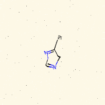 CC(C)C1=NC=NC1